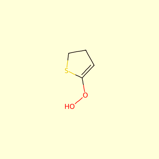 OOC1=CCCS1